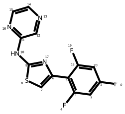 Fc1cc(F)c(-c2csc(Nc3cnccn3)n2)c(F)c1